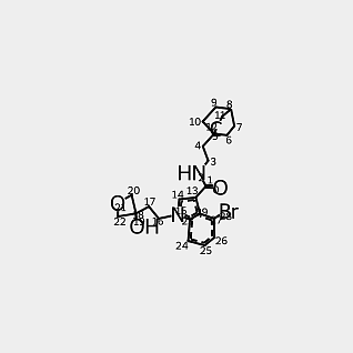 O=C(NCCC12CCC(CC1)CC2)c1cn(CCC2(O)COC2)c2cccc(Br)c12